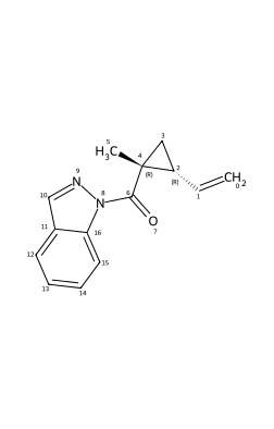 C=C[C@H]1C[C@@]1(C)C(=O)n1ncc2ccccc21